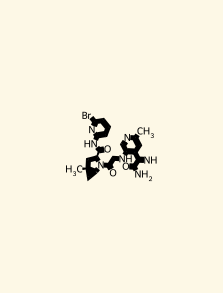 Cc1cc(C(=N)C(N)=O)c(NCC(=O)N2C3C[C@]3(C)C[C@H]2C(=O)Nc2cccc(Br)n2)cn1